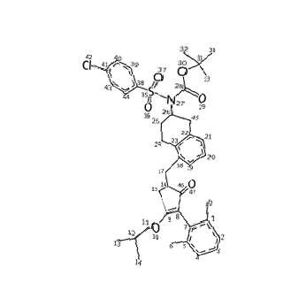 Cc1cccc(C)c1C1=C(OCC(C)C)CC(Cc2cccc3c2CCC(N(C(=O)OC(C)(C)C)S(=O)(=O)c2ccc(Cl)cc2)C3)C1=O